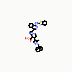 Cc1c(-c2ccn3c(-c4cnc(Nc5nc6ccccc6s5)c5ccccc45)cnc3c2C(=O)O)cnn1CC12CC3CC(CC(C3)C1)C2